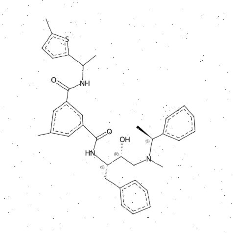 Cc1cc(C(=O)NC(C)c2ccc(C)s2)cc(C(=O)N[C@@H](Cc2ccccc2)[C@H](O)CN(C)[C@@H](C)c2ccccc2)c1